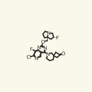 O=C1CC2(CCCN(c3nc(OC[C@@]45CCCN4C[C@H](F)C5)nc4c(F)c(Cl)ncc34)C2)C1